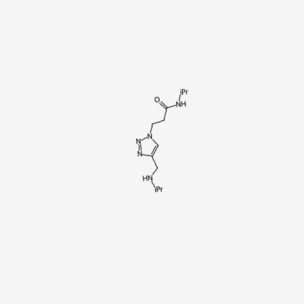 CC(C)NCc1cn(CCC(=O)NC(C)C)nn1